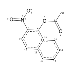 CC(=O)Oc1c([N+](=O)[O-])ccc2ccccc12